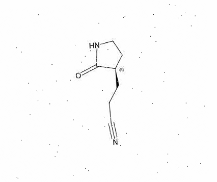 N#CCC[C@@H]1CCNC1=O